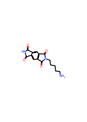 NCCCCCn1c(=O)c2cc3c(=O)[nH]c(=O)c3cc2c1=O